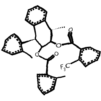 Cc1ccccc1C(=O)OC1C(OC(=O)c2ccccc2C(F)(F)F)[C@@H](C)c2ccccc2[C@@H]1c1ccccc1C